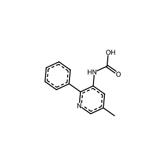 Cc1cnc(-c2ccccc2)c(NC(=O)O)c1